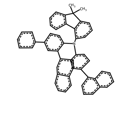 CC1(C)c2ccccc2-c2c(N(c3ccc(-c4cccc5ccccc45)cc3)c3ccc(-c4ccccc4)cc3-c3ccc4ccccc4c3)cccc21